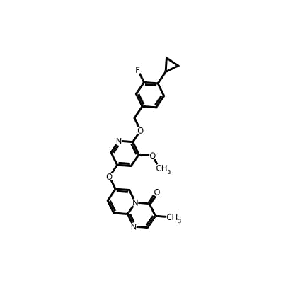 COc1cc(Oc2ccc3ncc(C)c(=O)n3c2)cnc1OCc1ccc(C2CC2)c(F)c1